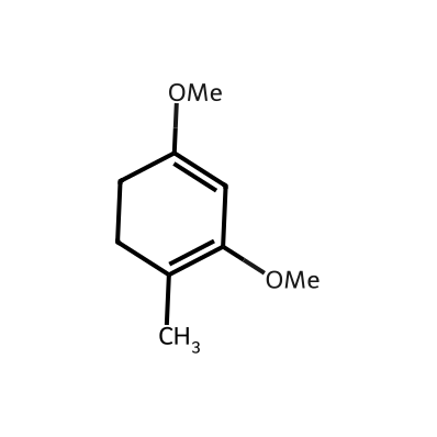 COC1=CC(OC)=C(C)CC1